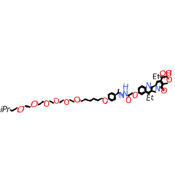 CCc1c2c(nc3ccc(OCC(=O)N/N=C(\C)c4ccc(OCCCCCCOCCOCCOCCOCCOCCOCCC(C)C)cc4)cc13)-c1cc3c(c(=O)n1C2)COC(=O)[C@]3(O)CC